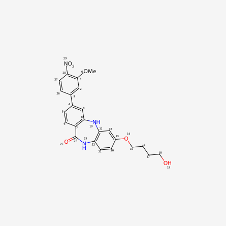 COc1cc(-c2ccc3c(c2)Nc2cc(OCCCCO)ccc2NC3=O)ccc1[N+](=O)[O-]